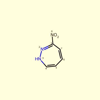 O=[N+]([O-])C1=NNC=CC=C1